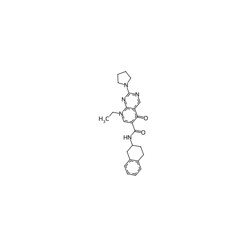 CCn1cc(C(=O)NC2CCc3ccccc3C2)c(=O)c2cnc(N3CCCC3)nc21